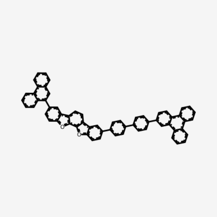 c1ccc2c(c1)cc(-c1ccc3oc4c(ccc5c6cc(-c7ccc(-c8ccc(-c9ccc%10c%11ccccc%11c%11ccccc%11c%10c9)cc8)cc7)ccc6oc54)c3c1)c1ccccc12